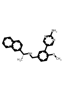 COc1ccc(CN[C@H](C)c2ccc3ccccc3c2)cc1-c1cnc(N)nc1